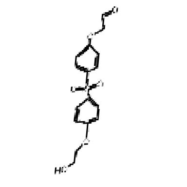 O=CCOc1ccc(S(=O)(=O)c2ccc(OCCO)cc2)cc1